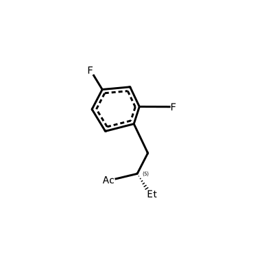 CC[C@@H](Cc1ccc(F)cc1F)C(C)=O